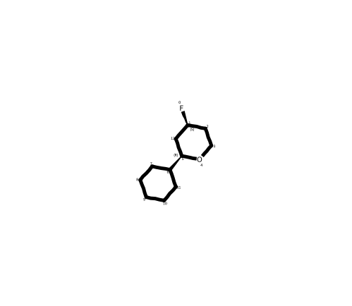 F[C@H]1CCO[C@@H](C2CCCCC2)C1